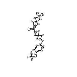 O=C(N1CC2(CC(Cc3ccc(OC(F)(F)F)cn3)C2)C1)N1CC2(C1)CS(=O)(=O)C2